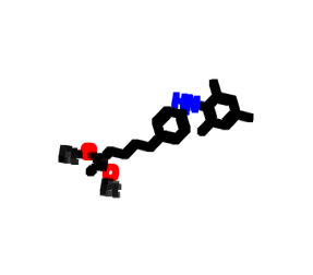 CCO[Si](C)(CCCCc1ccc(Nc2c(C)cc(C)cc2C)cc1)OCC